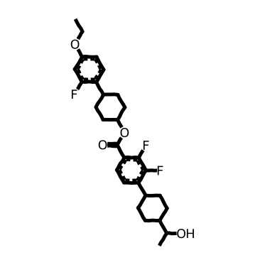 CCOc1ccc(C2CCC(OC(=O)c3ccc(C4CCC(C(C)O)CC4)c(F)c3F)CC2)c(F)c1